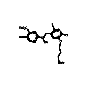 CCOC(=O)c1cn([C@@H](Cc2cc(OCCCOC)c(Cl)nc2I)C(C)(C)C)ccc1=O